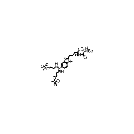 Cn1c(CCCC(NC(=O)OC(C)(C)C)C(=O)O)nc2cc(N(NCCOS(C)(=O)=O)NCCOS(C)(=O)=O)ccc21